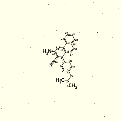 CC(C)Cc1ccc(C2C(C#N)=C(N)Oc3c2ccc2ccccc32)cc1